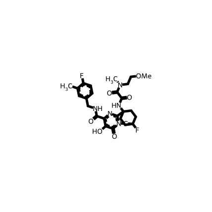 COCCN(C)C(=O)C(=O)NC12CCC(F)(CC1)Cn1c2nc(C(=O)NCc2ccc(F)c(C)c2)c(O)c1=O